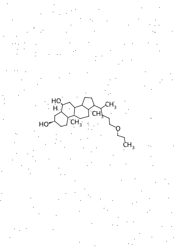 CCCOCCCC(C)C1CCC2C3C[C@H](O)[C@@H]4C[C@H](O)CC[C@]4(C)C3CC[C@]12C